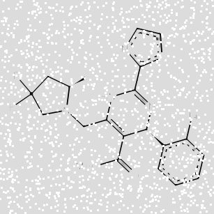 COC(=O)C1=C(CN2CC(F)(F)C[C@H]2C(=O)O)NC(c2nccs2)=N[C@H]1c1ccccc1Br